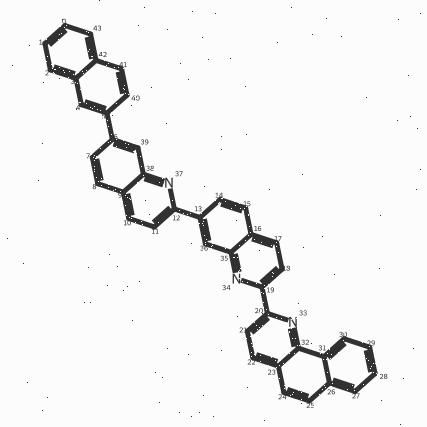 c1ccc2cc(-c3ccc4ccc(-c5ccc6ccc(-c7ccc8ccc9ccccc9c8n7)nc6c5)nc4c3)ccc2c1